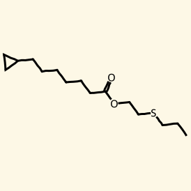 CCCSCCOC(=O)CCCCCCC1CC1